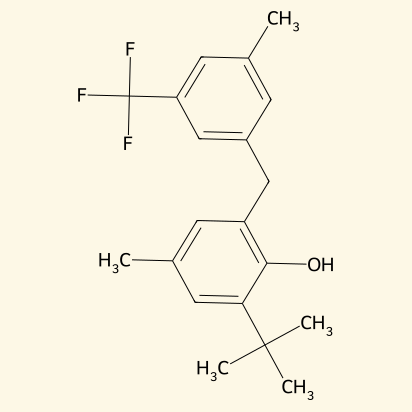 Cc1cc(Cc2cc(C)cc(C(C)(C)C)c2O)cc(C(F)(F)F)c1